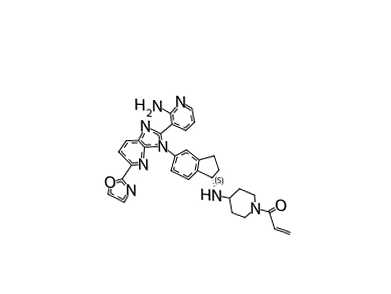 C=CC(=O)N1CCC(N[C@H]2CCc3cc(-n4c(-c5cccnc5N)nc5ccc(-c6ncco6)nc54)ccc32)CC1